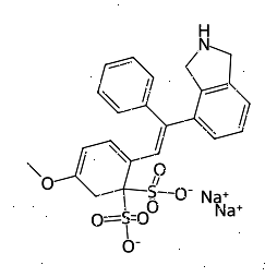 COC1=CC=C(C=C(c2ccccc2)c2cccc3c2CNC3)C(S(=O)(=O)[O-])(S(=O)(=O)[O-])C1.[Na+].[Na+]